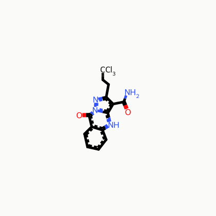 NC(=O)c1c(CCC(Cl)(Cl)Cl)nn2c(=O)c3ccccc3[nH]c12